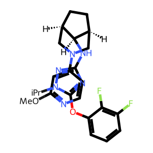 COc1cc(N2C[C@H]3CC[C@@H](C2)[C@H]3Nc2nc(Oc3cccc(F)c3F)n(C(C)C)n2)ccn1